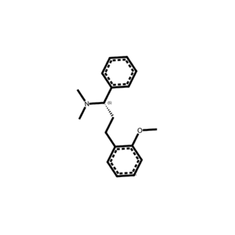 COc1c[c]ccc1CC[C@@H](c1ccccc1)N(C)C